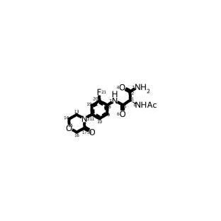 CC(=O)N[C@@H](C(N)=O)C(=O)Nc1ccc(N2CCOCC2=O)cc1F